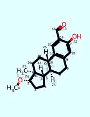 CO[C@H]1CC[C@H]2[C@@H]3CCc4cc(O)c(C=O)cc4[C@H]3CC[C@]12C